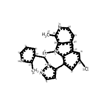 CCn1c2c(-c3ccnn3Cc3cccnc3C)cc(Cl)cc2c2ccnc(C)c21